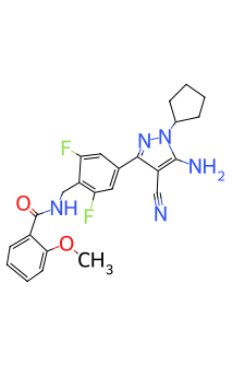 COc1ccccc1C(=O)NCc1c(F)cc(-c2nn(C3CCCC3)c(N)c2C#N)cc1F